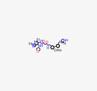 CCc1nc2c(cnn2CC)c(NC2CCOCC2)c1CNC(=O)CC(=O)NCc1ccc(OC)c(-c2cccc(CN3C[C@@H]4CC3CN4)c2)c1